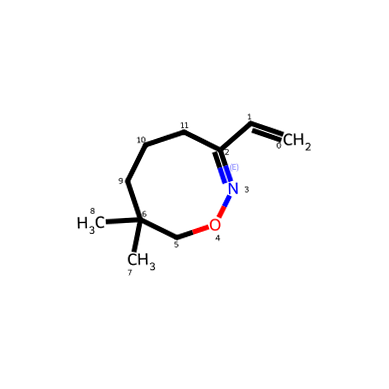 C=C/C1=N/OCC(C)(C)CCC1